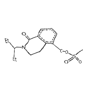 CCC(CC)N1CCc2c(COS(C)(=O)=O)cccc2C1=O